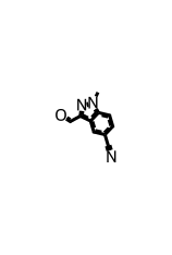 Cn1nc(C=O)c2cc(C#N)ccc21